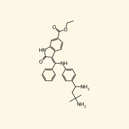 CCOC(=O)c1ccc2c(c1)NC(=O)C2=C(Nc1ccc(C(N)CC(C)(C)N)cc1)c1ccccc1